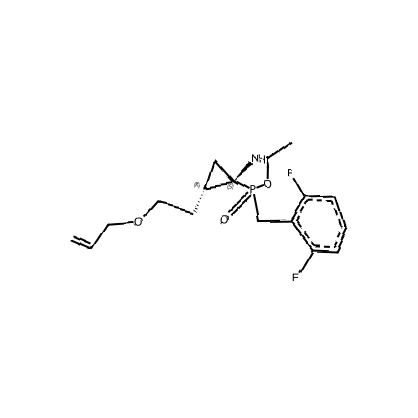 C=CCOCC[C@@H]1C[C@]1(N)P(=O)(Cc1c(F)cccc1F)OCC